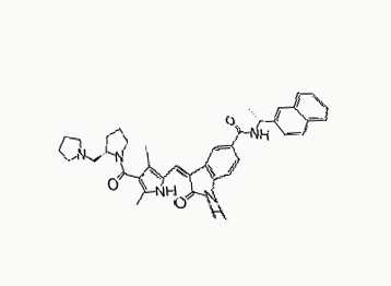 Cc1[nH]c(/C=C2\C(=O)Nc3ccc(C(=O)N[C@H](C)c4ccc5ccccc5c4)cc32)c(C)c1C(=O)N1CCC[C@@H]1CN1CCCC1